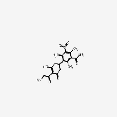 CCC(=O)C1=C(O)CC(c2c(C)c(C(C)=O)c(C)c([N+](=O)[O-])c2C)CC1=O